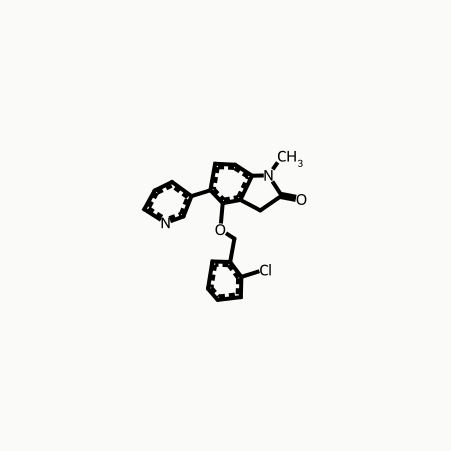 CN1C(=O)Cc2c1ccc(-c1cccnc1)c2OCc1ccccc1Cl